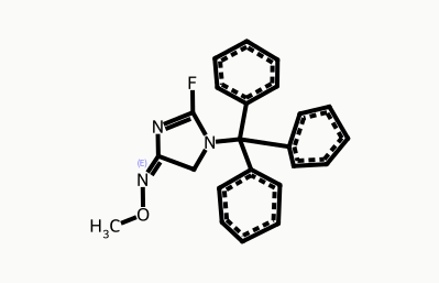 CO/N=C1\CN(C(c2ccccc2)(c2ccccc2)c2ccccc2)C(F)=N1